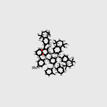 Cc1ccccc1N(c1cc2c3c(c1)N(c1ccc(C(C)(C)C)cc1-c1ccccc1)c1ccc4c(oc5cc6c(cc54)C(C)(C)CCC6(C)C)c1B3c1cc3c(cc1N2c1ccc2c(c1)C(C)(C)CCC2(C)C)C(C)(C)CCC3(C)C)c1ccccc1C